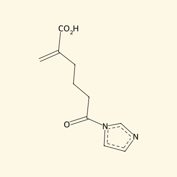 C=C(CCCC(=O)n1ccnc1)C(=O)O